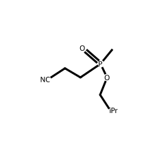 CC(C)COP(C)(=O)CCC#N